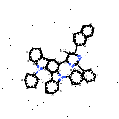 N#Cc1c(-c2ccc3ccccc3c2)nc(-c2ccccc2)nc1-c1cc2c3ccccc3n(-c3ccccc3)c2c2c3ccccc3n(-c3ccccc3)c12